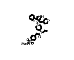 C=CCN(C(=O)Cc1ccc(S(=O)(=O)NC)cc1)C1CCN(C[C@@]2(C(=O)C3CCOCC3)CNC[C@@]2(O)c2ccccc2)CC1